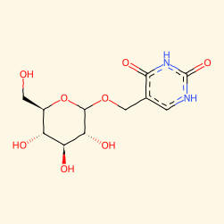 O=c1[nH]cc(COC2O[C@H](CO)[C@@H](O)[C@H](O)[C@H]2O)c(=O)[nH]1